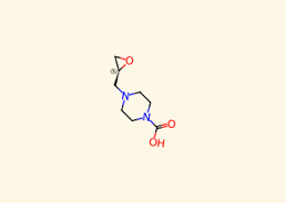 O=C(O)N1CCN(C[C@H]2CO2)CC1